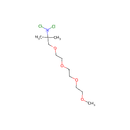 COCCOCCOCCOCC(C)(C)N(Cl)Cl